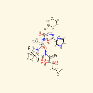 CCC[C@H](NC(=O)[C@@H]1[C@H]2CCC[C@H]2CN1C(=O)[C@@H](NC(=O)[C@H](CC1CCCCC1)NC(=O)c1cnccn1)C(C)(C)C)C(O)C(=O)CC1CC1